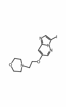 Ic1cnc2cc(OCCN3CCOCC3)cnn12